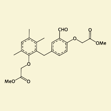 COC(=O)COc1ccc(Cc2c(C)c(C)cc(C)c2OCC(=O)OC)cc1C=O